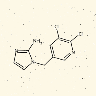 Nc1nccn1Cc1cnc(Cl)c(Cl)c1